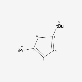 CC(C)C1=C[C]=C(C(C)(C)C)C1